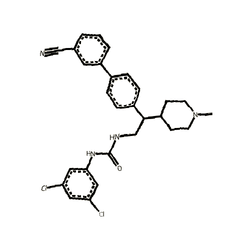 CN1CCC(C(CNC(=O)Nc2cc(Cl)cc(Cl)c2)c2ccc(-c3cccc(C#N)c3)cc2)CC1